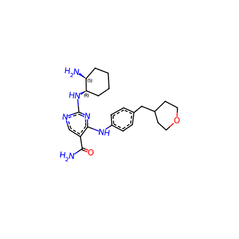 NC(=O)c1cnc(N[C@@H]2CCCC[C@@H]2N)nc1Nc1ccc(CC2CCOCC2)cc1